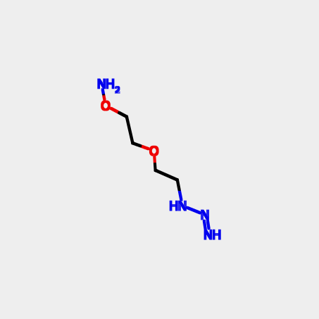 N=NNCCOCCON